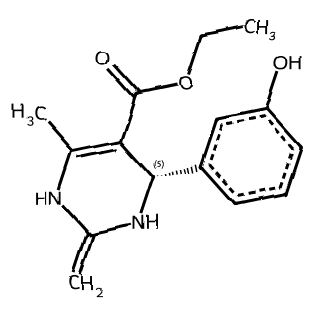 C=C1NC(C)=C(C(=O)OCC)[C@H](c2cccc(O)c2)N1